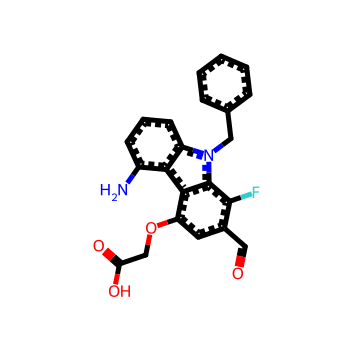 Nc1cccc2c1c1c(OCC(=O)O)cc(C=O)c(F)c1n2Cc1ccccc1